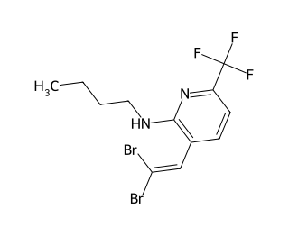 CCCCNc1nc(C(F)(F)F)ccc1C=C(Br)Br